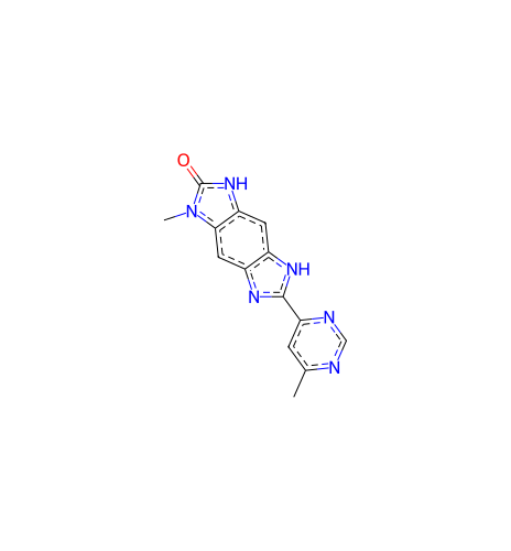 Cc1cc(-c2nc3cc4c(cc3[nH]2)[nH]c(=O)n4C)ncn1